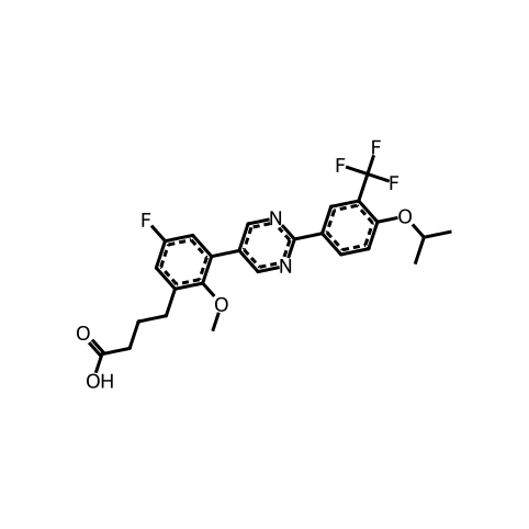 COc1c(CCCC(=O)O)cc(F)cc1-c1cnc(-c2ccc(OC(C)C)c(C(F)(F)F)c2)nc1